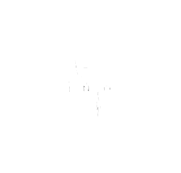 CC#CC(=O)N1CCCC(C(C)(C)C)C1